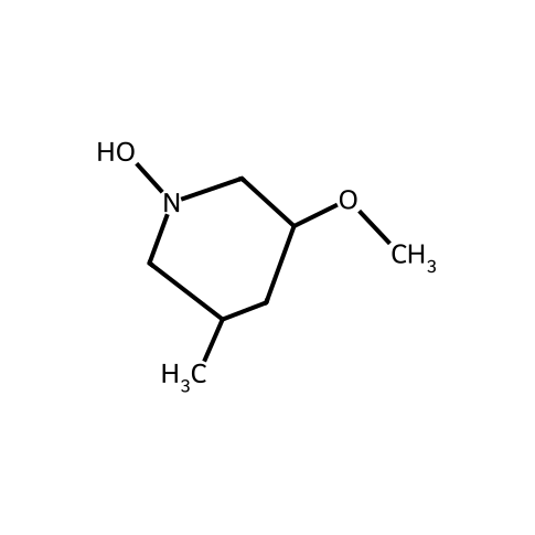 COC1CC(C)CN(O)C1